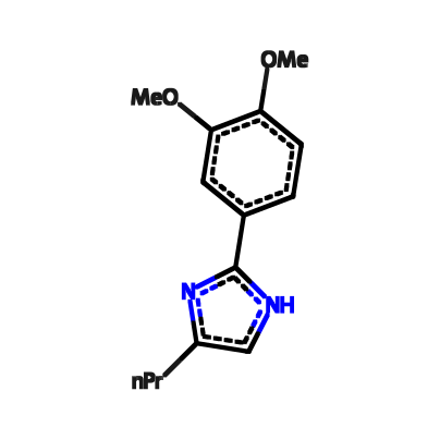 CCCc1c[nH]c(-c2ccc(OC)c(OC)c2)n1